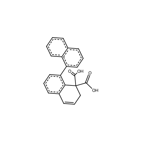 O=C(O)C1(C(=O)O)CC=Cc2cccc(-c3cccc4ccccc34)c21